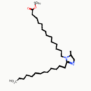 CCCCCCCCCCOC(=O)CCCCCCCCCCCCCN1C(CCCCCCCCCCCCC(=O)O)=NCC1C